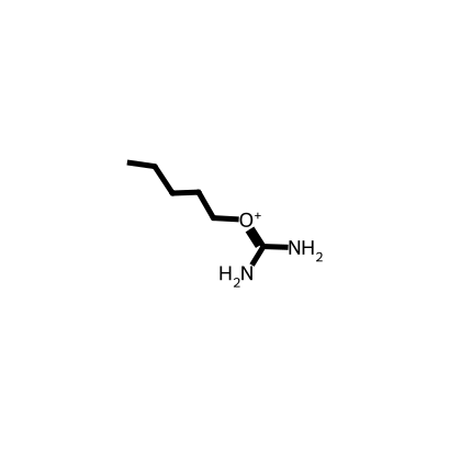 CCCCC[O+]=C(N)N